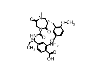 CC[C@@H](NC(=O)N1CC(=O)NC[C@H](Cc2cc(Cl)ccc2OC)C1=O)c1ccc(C(=O)O)c(N)c1